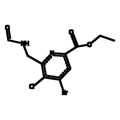 CCOC(=O)c1cc(Br)c(Cl)c(CNC=O)n1